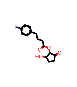 O=C(CCCc1ccc(I)cc1)OC1C(=O)CCC1O